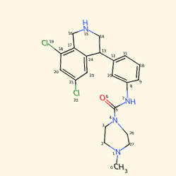 CN1CCN(C(=O)Nc2cccc(C3CNCc4c(Cl)cc(Cl)cc43)c2)CC1